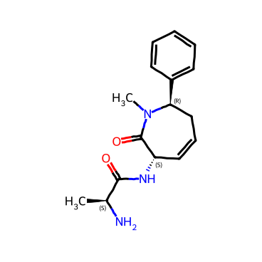 C[C@H](N)C(=O)N[C@H]1C=CC[C@H](c2ccccc2)N(C)C1=O